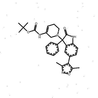 Cc1noc(C)c1-c1ccc2c(c1)C(c1ccccc1)(N1CCC=C(NC(=O)OC(C)(C)C)C1)C(=O)N2